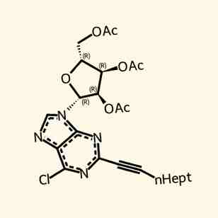 CCCCCCCC#Cc1nc(Cl)c2ncn([C@@H]3O[C@H](COC(C)=O)[C@@H](OC(C)=O)[C@H]3OC(C)=O)c2n1